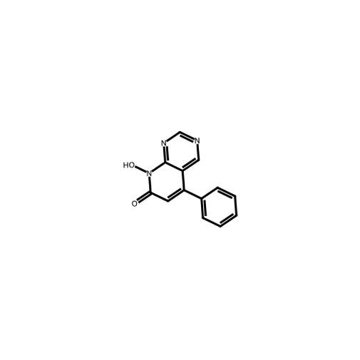 O=c1cc(-c2ccccc2)c2cncnc2n1O